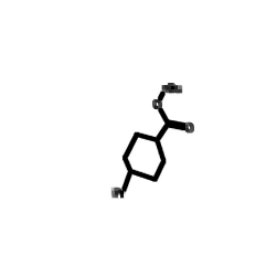 CCCCOC(=O)C1CCC(C(C)C)CC1